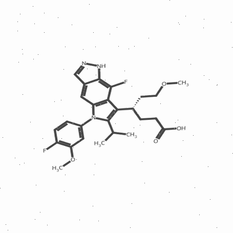 COCC[C@H](CCC(=O)O)c1c(C(C)C)n(-c2ccc(F)c(OC)c2)c2cc3cn[nH]c3c(F)c12